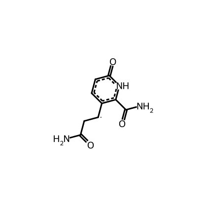 NC(=O)C[CH]c1ccc(=O)[nH]c1C(N)=O